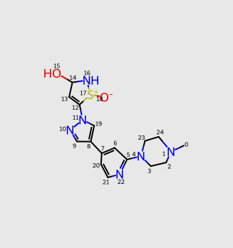 CN1CCN(c2cc(-c3cnn(C4=CC(O)N[S+]4[O-])c3)ccn2)CC1